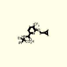 CCC(NC(=O)c1ccc(C(F)(F)F)c(OCC2CC2)n1)(C(=O)O)C(C)C